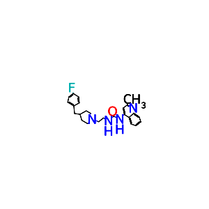 Cc1cc(NC(=O)NCCN2CCC(Cc3ccc(F)cc3)CC2)c2ccccc2n1